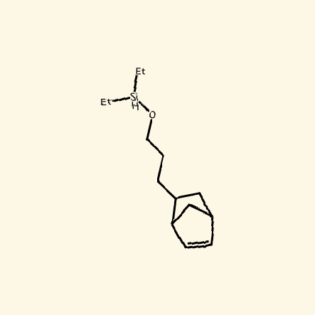 CC[SiH](CC)OCCCC1CC2C=CC1C2